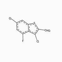 O=Cc1sc2cc(Cl)cc(F)c2c1Cl